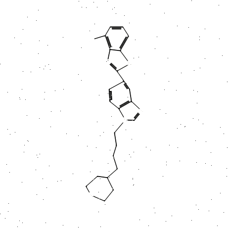 Cc1cccc2[nH]c(-c3ccc4c(c3)ncn4CCCCC3CCNCC3)nc12